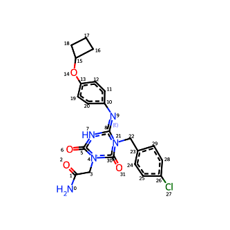 NC(=O)Cn1c(=O)[nH]/c(=N\c2ccc(OC3CCC3)cc2)n(Cc2ccc(Cl)cc2)c1=O